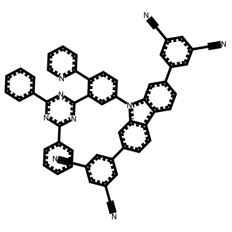 N#Cc1cc(C#N)cc(-c2ccc3c4ccc(-c5cc(C#N)cc(C#N)c5)cc4n(-c4ccc(-c5ccccn5)c(-c5nc(-c6ccccc6)nc(-c6ccccc6)n5)c4)c3c2)c1